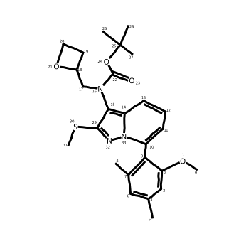 COc1cc(C)cc(C)c1-c1cccc2c(N(CC3CCO3)C(=O)OC(C)(C)C)c(SC)nn12